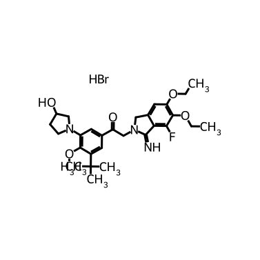 Br.CCOc1cc2c(c(F)c1OCC)C(=N)N(CC(=O)c1cc(N3CCC(O)C3)c(OC)c(C(C)(C)C)c1)C2